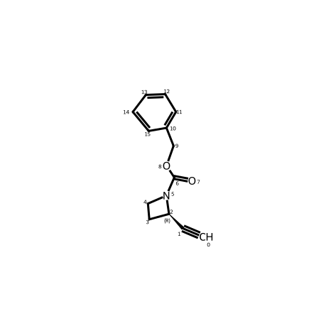 C#C[C@H]1CCN1C(=O)OCc1ccccc1